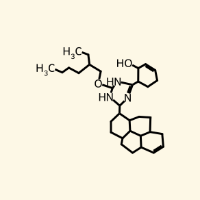 CCCCC(CC)COC1NC(C2CCC=CC2O)=NC(C2CCC3CCC4C=CCC5CCC2C3C45)N1